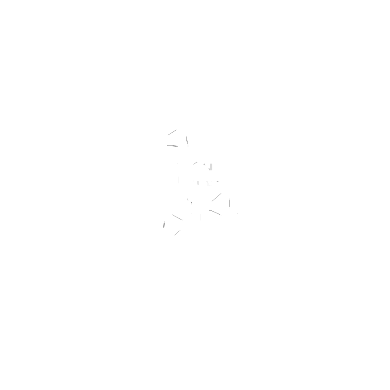 CCOc1ccccc1CC(=O)N[C@@H](Cc1cc(F)cc(F)c1)[C@@H](O)CNCc1cccc(CC)c1